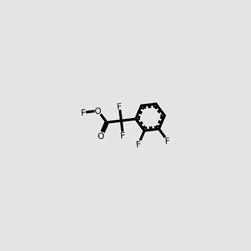 O=C(OF)C(F)(F)c1cccc(F)c1F